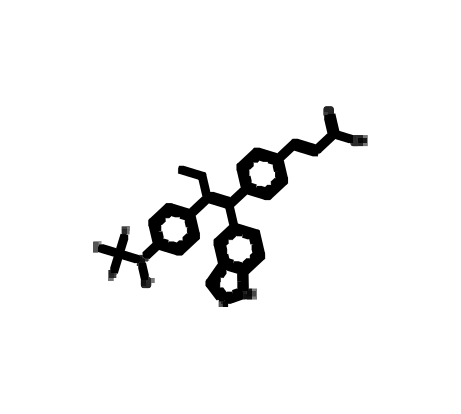 CCC(=C(c1ccc(C=CC(=O)O)cc1)c1ccc2[nH]ncc2c1)c1ccc([S+]([O-])C(F)(F)F)cc1